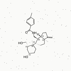 C=C1CC[C@H]2[C@H](CNC(=O)c3ccc(C)cc3)[C@@H]([C@@]3(C)CC[C@H](O)C[C@@H]3CO)CC[C@]12C